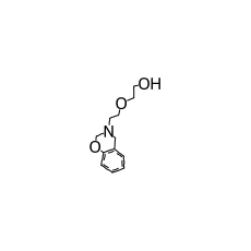 OCCOCCN1COc2ccccc2C1